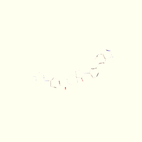 CN1CCN(c2ccc(C(=O)N3CCC4(CC3)CCN(c3cccc(-c5ccc6cn[nH]c6c5)c3)C4=O)cc2)CC1